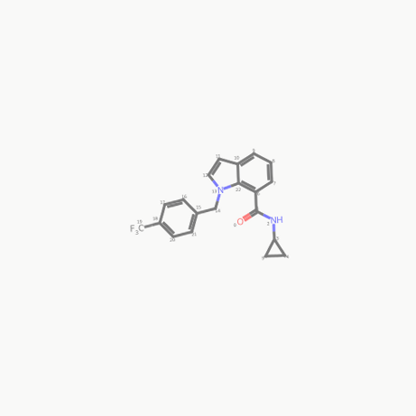 O=C(NC1[CH]C1)c1cccc2ccn(Cc3ccc(C(F)(F)F)cc3)c12